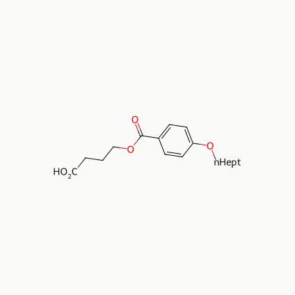 CCCCCCCOc1ccc(C(=O)OCCCC(=O)O)cc1